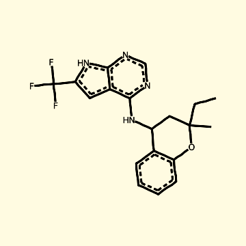 CCC1(C)CC(Nc2ncnc3[nH]c(C(F)(F)F)cc23)c2ccccc2O1